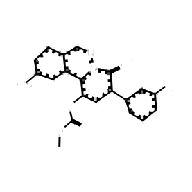 COC(=O)Oc1cc(-c2cccc(Cl)c2)c(=O)n2ncc3ccc(Cl)cc3c12